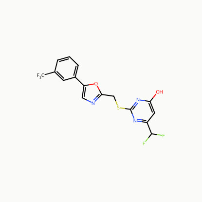 Oc1cc(C(F)F)nc(SCc2ncc(-c3cccc(C(F)(F)F)c3)o2)n1